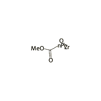 CCCC(=O)OC.[O]=[Zr]